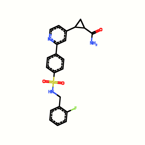 NC(=O)C1CC1c1ccnc(-c2ccc(S(=O)(=O)NCc3ccccc3F)cc2)c1